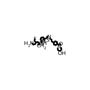 C=C(/C=C(\C=C/N)CF)Nc1cccc(-c2cnc(CCc3ccc(C(=O)N4CCC(O)CC4)cc3)s2)n1